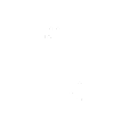 CCCOC(=O)CCCCCCN[C]=O